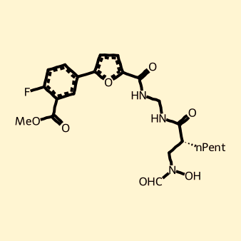 CCCCC[C@H](CN(O)C=O)C(=O)NCNC(=O)c1ccc(-c2ccc(F)c(C(=O)OC)c2)o1